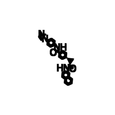 O=C(Nc1ccc(-n2ccnc2)cc1)c1ccc([C@@H]2C[C@H]2C(=O)Nc2ccc3ccccc3c2)cc1